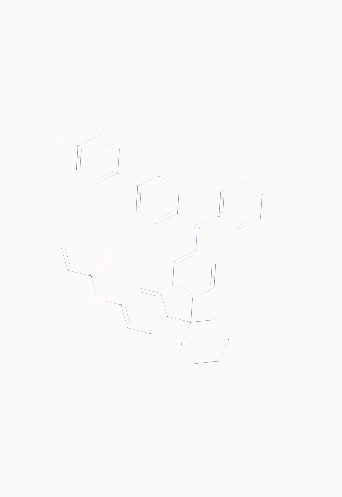 C=CC(=O)Oc1ccc(C2(c3ccc(N(c4ccc(C)cc4)c4ccc(-c5ccc(C)cc5)cc4)cc3)CCCCC2)cc1